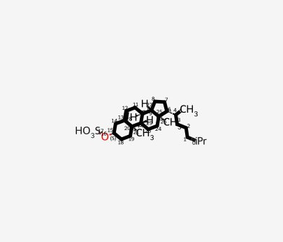 CC(C)CCCC(C)[C@H]1CC[C@H]2[C@@H]3CC=C4C[C@@H](OS(=O)(=O)O)CC[C@]4(C)[C@H]3CC[C@]12C